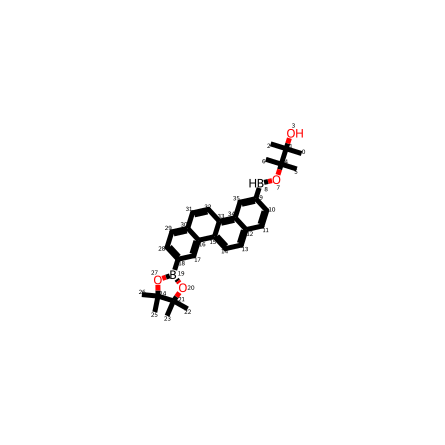 CC(C)(O)C(C)(C)OBc1ccc2ccc3c4cc(B5OC(C)(C)C(C)(C)O5)ccc4ccc3c2c1